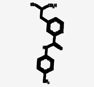 CC(C)(C)N(Cc1ccnc(C(=O)Nc2ccc(N)cc2)c1)C(=O)O